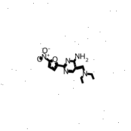 CCN(C=C1C=NC(c2ccc([N+](=O)[O-])o2)=NC1N)CC